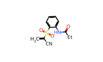 C=C(C#N)S(=O)(=O)c1ccccc1NC(=O)CC